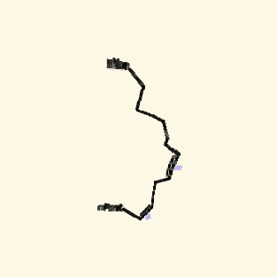 CCCC[CH]CCCCCCCC/C=C\C/C=C\CCCCC